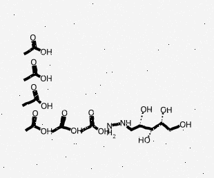 CC(=O)O.CC(=O)O.CC(=O)O.CC(=O)O.CC(=O)O.CC(=O)O.NNC[C@H](O)[C@@H](O)[C@H](O)CO